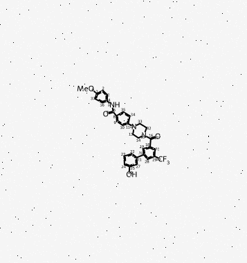 COc1ccc(NC(=O)c2ccc(N3CCN(C(=O)c4cc(-c5cccc(O)c5)cc(C(F)(F)F)c4)CC3)cc2)cc1